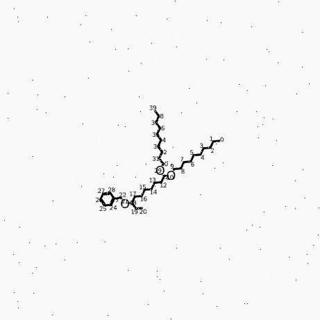 CCCCCCCCCCOC(CCCCCCC(CC)OCc1ccccc1)OCCCCCCCCCC